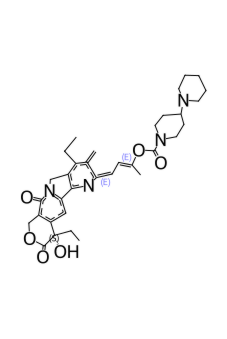 C=c1c(CC)c2c(n/c1=C/C=C(\C)OC(=O)N1CCC(N3CCCCC3)CC1)-c1cc3c(c(=O)n1C2)COC(=O)[C@]3(O)CC